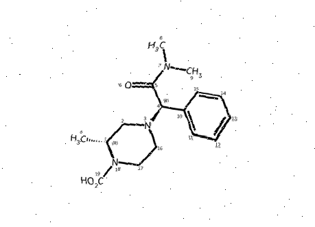 C[C@@H]1CN([C@@H](C(=O)N(C)C)c2ccccc2)CCN1C(=O)O